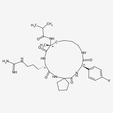 CC(C)C(=O)N[C@]1(C)CCCCNC(=O)[C@@H](c2ccc(F)cc2)NC(=O)C2(CCCC2)NC(=O)[C@H](CCCNC(=N)N)NC1=O